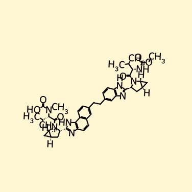 COC(=O)N[C@H](C(=O)N1[C@@H]2C[C@H]2C[C@H]1c1nc2cc(CCc3ccc4c(ccc5nc([C@@H]6C[C@H]7C[C@H]7N6C(=O)[C@H](C(C)C)N(C)C(=O)O)[nH]c54)c3)ccc2[nH]1)C(C)C